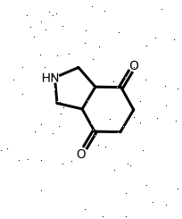 O=C1CCC(=O)C2CNCC12